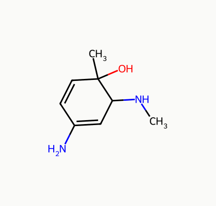 CNC1C=C(N)C=CC1(C)O